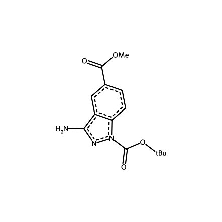 COC(=O)c1ccc2c(c1)c(N)nn2C(=O)OC(C)(C)C